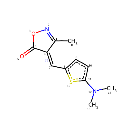 CC1=NOC(=O)/C1=C/c1ccc(N(C)C)s1